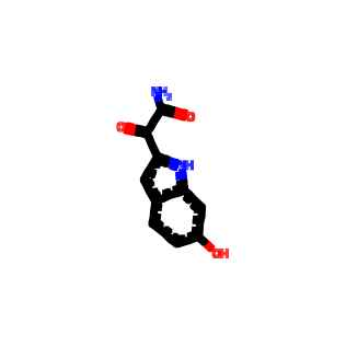 NC(=O)C(=O)c1cc2ccc(O)cc2[nH]1